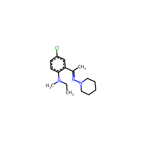 CCN(C)c1ccc(Cl)cc1/C(C)=N/N1CCCCC1